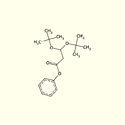 CC(C)(C)OC(CC(=O)Oc1ccccc1)OC(C)(C)C